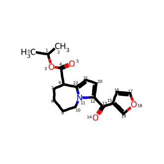 CC(C)OC(=O)C1CCCCn2c(C(=O)c3ccoc3)ccc21